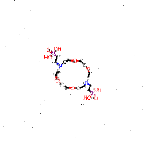 O=P(O)(O)CCN1CCOCCOCCN(CCP(=O)(O)O)CCOCCOCC1